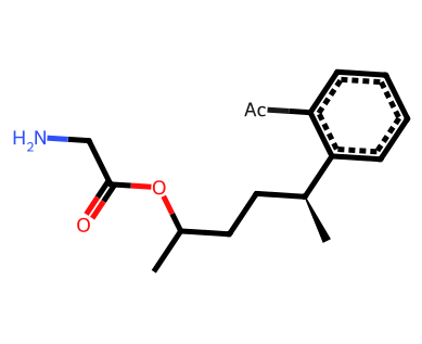 CC(=O)c1ccccc1[C@@H](C)CCC(C)OC(=O)CN